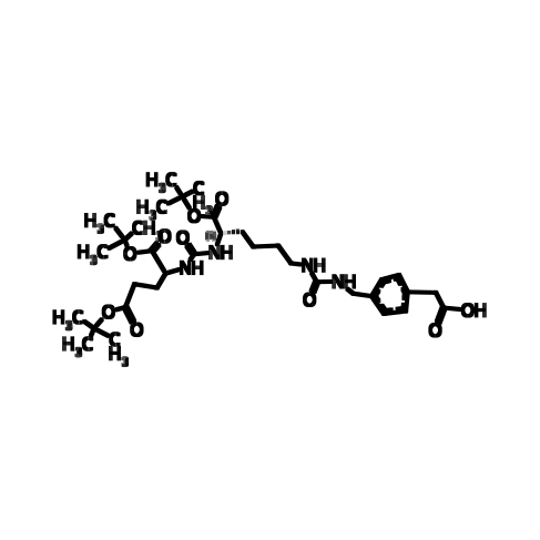 CC(C)(C)OC(=O)CCC(NC(=O)N[C@@H](CCCCNC(=O)NCc1ccc(CC(=O)O)cc1)C(=O)OC(C)(C)C)C(=O)OC(C)(C)C